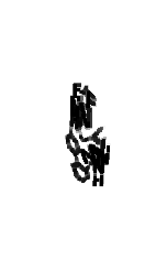 CC(C)Cc1nc(C(C)(F)F)nn1Cc1ccc(-c2ccccc2-c2nnn[nH]2)cc1